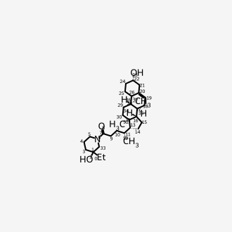 CCC1(O)CCCN(C(=O)CC[C@@H](C)[C@H]2CC[C@H]3[C@@H]4CC=C5C[C@@H](O)CC[C@]5(C)[C@H]4CC[C@]23C)C1